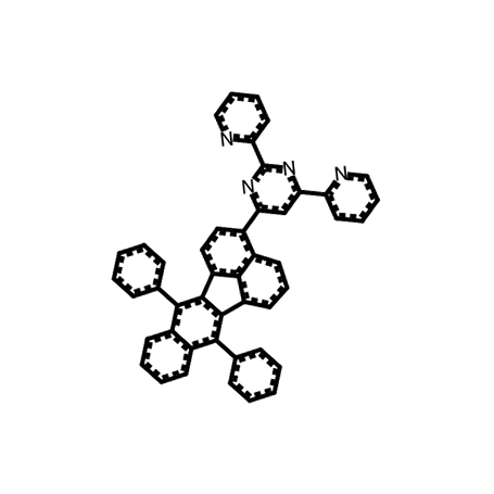 c1ccc(-c2c3c(c(-c4ccccc4)c4ccccc24)-c2ccc(-c4cc(-c5ccccn5)nc(-c5ccccn5)n4)c4cccc-3c24)cc1